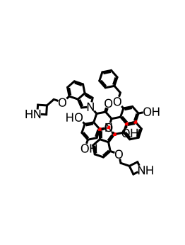 O=C(C(c1c(O)cc(O)cc1OCc1ccccc1)n1cc2cccc(OCC3CNC3)c2c1)C(c1c(O)cc(O)cc1OCc1ccccc1)n1cc2cccc(OCC3CNC3)c2c1